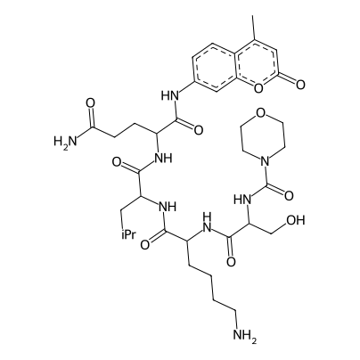 Cc1cc(=O)oc2cc(NC(=O)C(CCC(N)=O)NC(=O)C(CC(C)C)NC(=O)C(CCCCN)NC(=O)C(CO)NC(=O)N3CCOCC3)ccc12